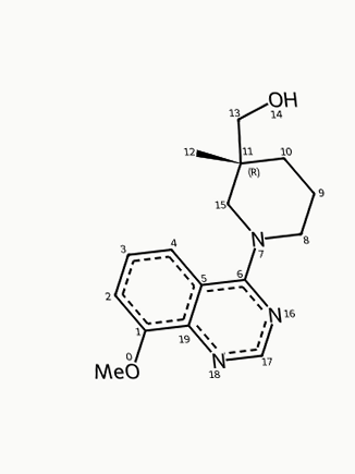 COc1cccc2c(N3CCC[C@@](C)(CO)C3)ncnc12